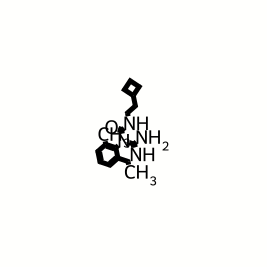 CCc1cccc(C)c1N(C(=N)N)C(=O)NCCC1CCC1